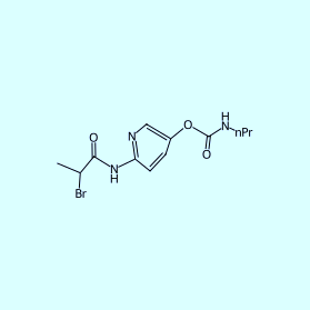 CCCNC(=O)Oc1ccc(NC(=O)C(C)Br)nc1